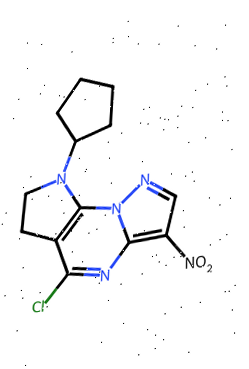 O=[N+]([O-])c1cnn2c3c(c(Cl)nc12)CCN3C1CCCC1